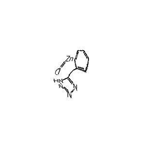 [O]=[Zn].c1ccc(-c2nnn[nH]2)cc1